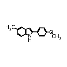 COc1ccc(-c2cc3cc(C)ccc3[nH]2)cc1